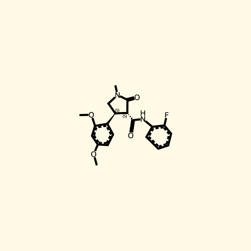 COc1ccc([C@H]2CN(C)C(=O)[C@@H]2C(=O)Nc2ccccc2F)c(OC)c1